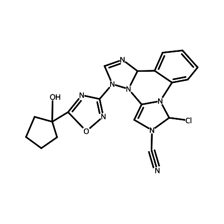 N#CN1C=C2N(c3ccccc3C3N=CN(c4noc(C5(O)CCCC5)n4)N23)C1Cl